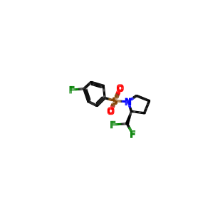 O=S(=O)(c1ccc(F)cc1)N1CCC[C@H]1C(F)F